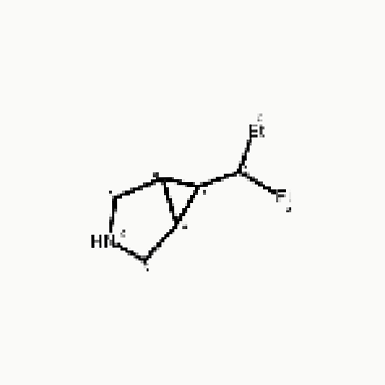 CCC(CC)C1C2CNCC21